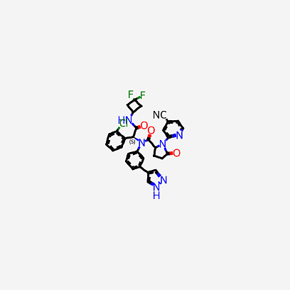 N#Cc1ccnc(N2C(=O)CCC2C(=O)N(c2cccc(-c3cn[nH]c3)c2)[C@H](C(=O)NC2CC(F)(F)C2)c2ccccc2Cl)c1